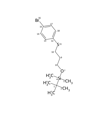 CC(C)(C)[Si](C)(C)OCCCSc1ccc(Br)cc1